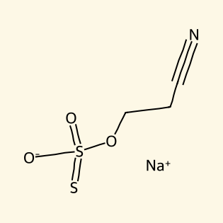 N#CCCOS(=O)([O-])=S.[Na+]